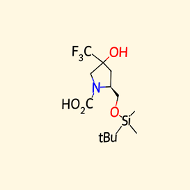 CC(C)(C)[Si](C)(C)OC[C@@H]1CC(O)(C(F)(F)F)CN1C(=O)O